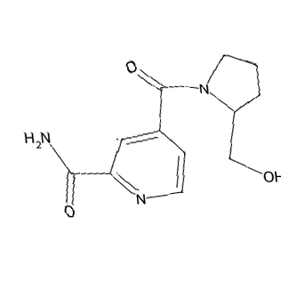 NC(=O)c1[c]c(C(=O)N2CCCC2CO)ccn1